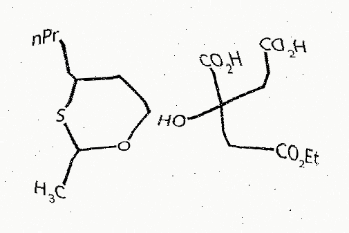 CCCC1CCOC(C)S1.CCOC(=O)CC(O)(CC(=O)O)C(=O)O